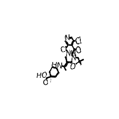 C/C(N[C@H]1CC[C@](C)(C(=O)O)CC1)=C(/C=N)C(=O)N(CC(=O)c1c(Cl)cncc1Cl)CC(C)(C)C